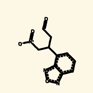 O=CCC(C[N+](=O)[O-])c1cccc2nonc12